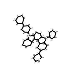 C1CCC(C2CCC(N3C4CCCCC4C4C5C6CC(C7CCCCC7)CCC6N(C6CCCCC6)C5CCC43)CC2)CC1